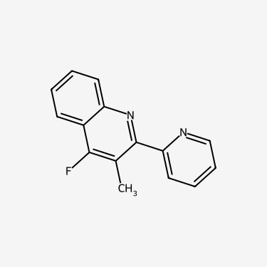 Cc1c(-c2ccccn2)nc2ccccc2c1F